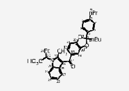 CCCCC1(c2ccc(CCC)cc2)Oc2ccc(C(=O)c3c(C)n(C(CC)C(=O)O)c4ccccc34)cc2O1